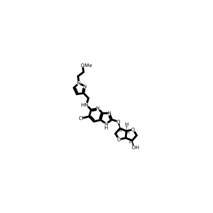 COCCn1ccc(CNc2nc3nc(O[C@@H]4COC5[C@H](O)CO[C@@H]54)[nH]c3cc2Cl)n1